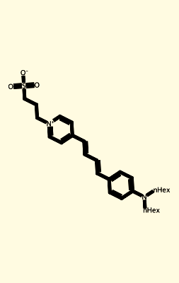 CCCCCCN(CCCCCC)c1ccc(/C=C/C=C/c2cc[n+](CCCS(=O)(=O)[O-])cc2)cc1